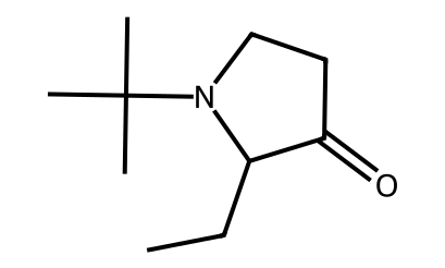 CCC1C(=O)CCN1C(C)(C)C